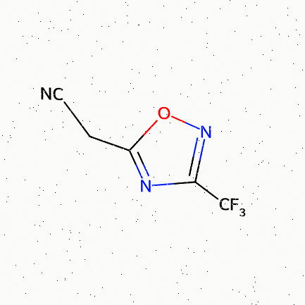 N#CCc1nc(C(F)(F)F)no1